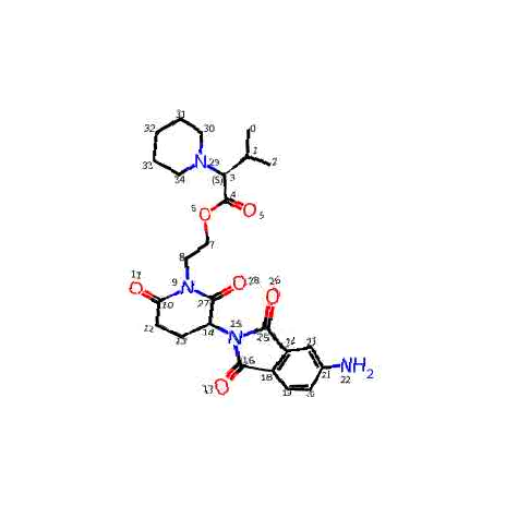 CC(C)[C@@H](C(=O)OCCN1C(=O)CCC(N2C(=O)c3ccc(N)cc3C2=O)C1=O)N1CCCCC1